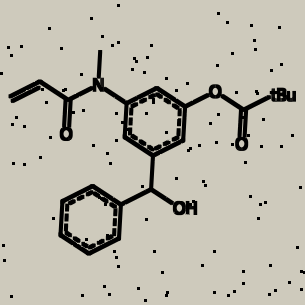 C=CC(=O)N(C)c1cc(OC(=O)C(C)(C)C)cc(C(O)c2ccccc2)c1